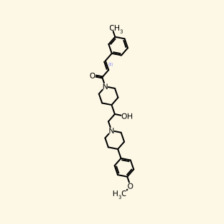 COc1ccc(C2CCN(CC(O)C3CCN(C(=O)/C=C/c4cccc(C)c4)CC3)CC2)cc1